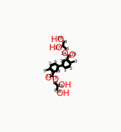 Cc1ccc(-c2ccc(C)c(C(=O)OCC(O)CO)c2)cc1C(=O)OCC(O)CO